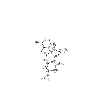 Cc1c(F)cccc1C1(C(=O)NO)CCc2nc(C3CC3)[nH]c(=O)c2C1